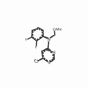 COCN(c1cc(Cl)ncn1)c1cccc(F)c1F